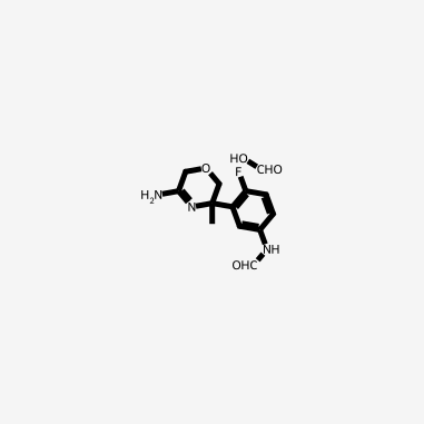 CC1(c2cc(NC=O)ccc2F)COCC(N)=N1.O=CO